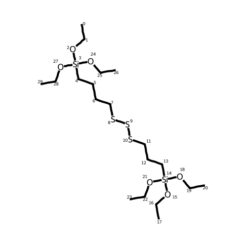 CCO[Si](CCCCSSSCCC[Si](OCC)(OCC)OCC)(OCC)OCC